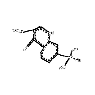 CCC[CH2][Sn]([CH2]CCC)([CH2]CCC)[c]1ccc2c(=O)c(C(=O)OCC)c[nH]c2c1